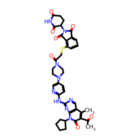 CC(=O)c1c(C)c2cnc(Nc3ccc(N4CCN(C(=O)CSc5cccc6c5C(=O)N(C5CCC(=O)NC5=O)C6=O)CC4)cn3)nc2n(C2CCCC2)c1=O